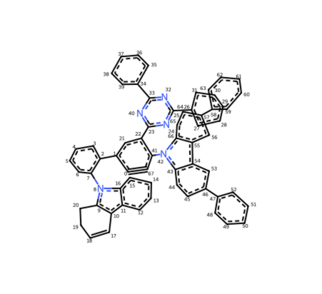 c1c(-c2ccccc2-n2c3c(c4ccccc42)C=CCC3)cc(-c2nc(-c3ccccc3)nc(-c3ccccc3)n2)c(-n2c3ccc(-c4ccccc4)cc3c3cc(-c4ccccc4)ccc32)c#1